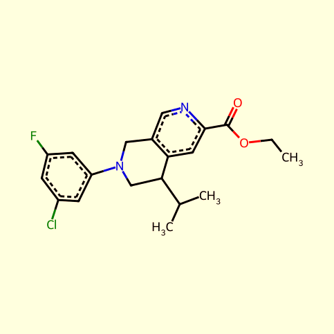 CCOC(=O)c1cc2c(cn1)CN(c1cc(F)cc(Cl)c1)CC2C(C)C